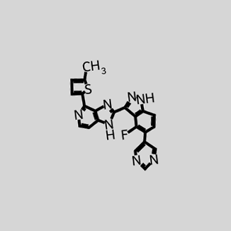 Cc1ccc(-c2nccc3[nH]c(-c4n[nH]c5ccc(-c6cncnc6)c(F)c45)nc23)s1